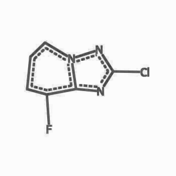 Fc1cccn2nc(Cl)nc12